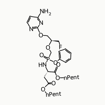 CCCCCOC(=O)C[C@H](NP(=O)(CO[C@H](CF)COc1nccc(N)n1)Oc1ccccc1)C(=O)OCCCCC